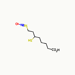 O=C(O)CCCCC(S)CCS#[N+][O-]